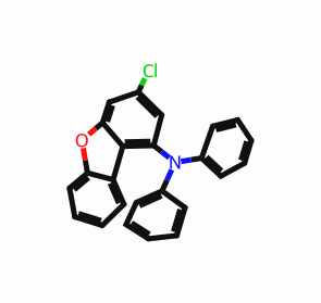 Clc1cc(N(c2ccccc2)c2ccccc2)c2c(c1)oc1ccccc12